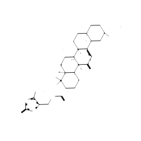 Cc1oc(=O)oc1COC(=O)[C@H]1CC[C@]2(C)[C@H]3C(=O)C=C4[C@@H]5C[C@@](C)(C(=O)O)CC[C@]5(C)CC[C@@]4(C)[C@]3(C)CC[C@H]2C1(C)C